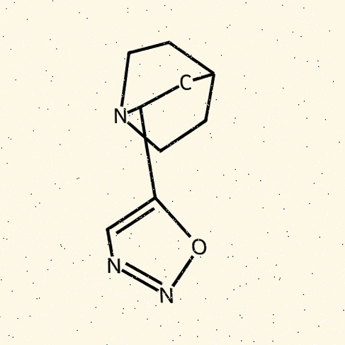 c1nnoc1C1CC2CCN1CC2